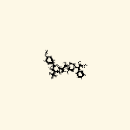 COC(=O)C(c1ccccc1)N1CCN(C(=O)c2cnn3c(C(F)(F)F)c(C)c(-c4ccc(OC)cc4)nc23)[C@H](C)C1